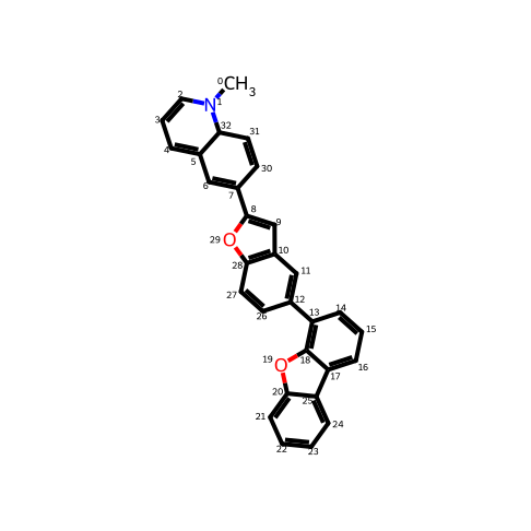 CN1C=CC=C2C=C(c3cc4cc(-c5cccc6c5oc5ccccc56)ccc4o3)C=CC21